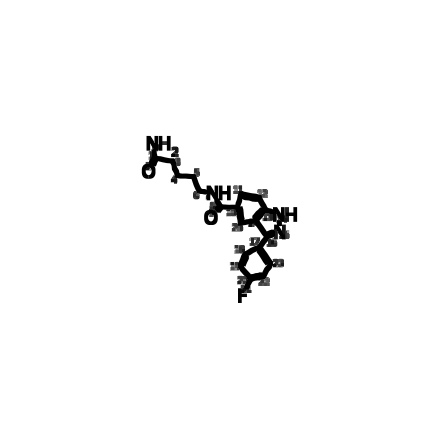 NC(=O)CCCCNC(=O)c1ccc2[nH]nc(-c3ccc(F)cc3)c2c1